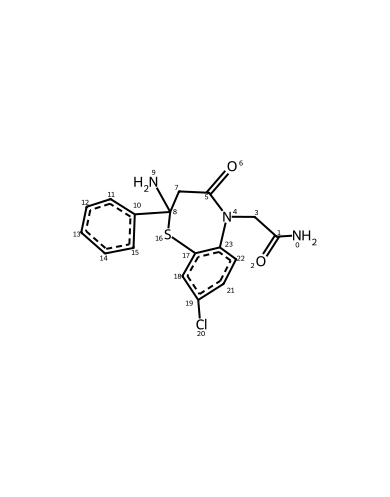 NC(=O)CN1C(=O)CC(N)(c2ccccc2)Sc2cc(Cl)ccc21